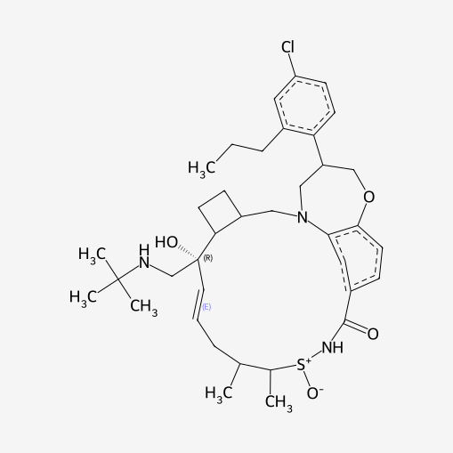 CCCc1cc(Cl)ccc1C1COc2ccc3cc2N(C1)CC1CCC1[C@](O)(CNC(C)(C)C)/C=C/CC(C)C(C)[S+]([O-])NC3=O